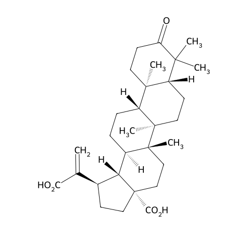 C=C(C(=O)O)[C@@H]1CC[C@]2(C(=O)O)CC[C@]3(C)[C@H](CC[C@@H]4[C@@]5(C)CCC(=O)C(C)(C)[C@@H]5CC[C@]43C)[C@@H]12